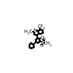 Cc1cc(-c2cc(-c3ccccc3)cc(S(C)(=O)=O)c2Cl)c2cccc(C(F)(F)F)c2n1